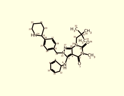 Cn1c(=O)c2c(NC3C=CC=CC3)n(Cc3ccc(C4CCCCN4)cc3)nc2n(CC(C)(C)C)c1=O